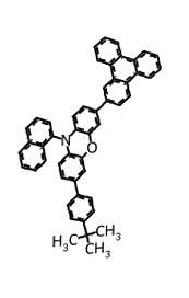 CC(C)(C)c1ccc(-c2ccc3c(c2)Oc2cc(-c4ccc5c6ccccc6c6ccccc6c5c4)ccc2N3c2cccc3ccccc23)cc1